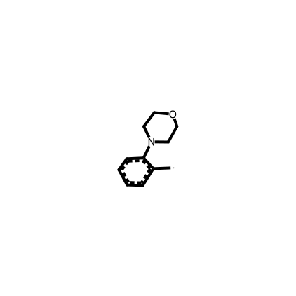 [CH2]c1ccccc1N1CCOCC1